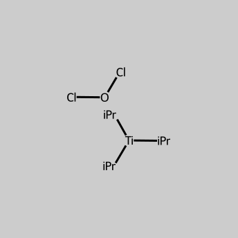 C[CH](C)[Ti]([CH](C)C)[CH](C)C.ClOCl